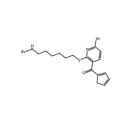 CC(C)NCCCCCCSc1nc(C(C)C)ccc1C(=O)c1cccs1